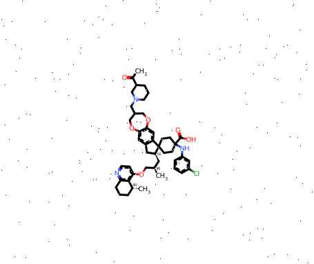 CC(=O)C1CCCN(CC2COc3cc4c(cc3OC2)C2(CCC(Nc3cccc(Cl)c3)(C(=O)O)CC2)[C@@H](C[C@@H](C)COc2ccnc3c2[C@H](C)CCC3)C4)C1